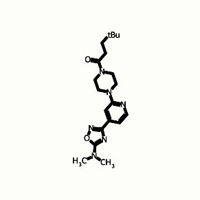 CN(C)c1nc(-c2ccnc(N3CCN(C(=O)CCC(C)(C)C)CC3)c2)no1